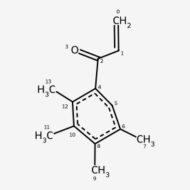 C=CC(=O)c1cc(C)c(C)c(C)c1C